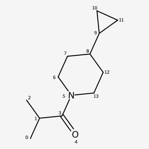 CC(C)C(=O)N1CCC(C2CC2)CC1